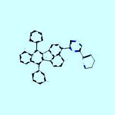 C1=NC(c2cncc(-c3ccc4c5c(cccc35)-c3c-4c(-c4ccccc4)c4ccccc4c3-c3ccccc3)n2)=CCC1